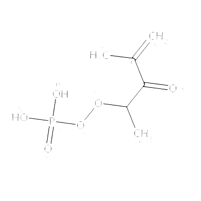 C=C(C)C(=O)C(C)OOP(=O)(O)O